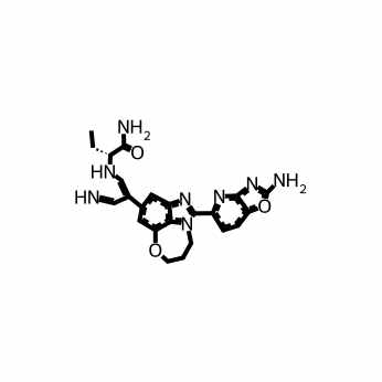 CC[C@@H](N/C=C(\C=N)c1cc2c3c(c1)nc(-c1ccc4oc(N)nc4n1)n3CCCO2)C(N)=O